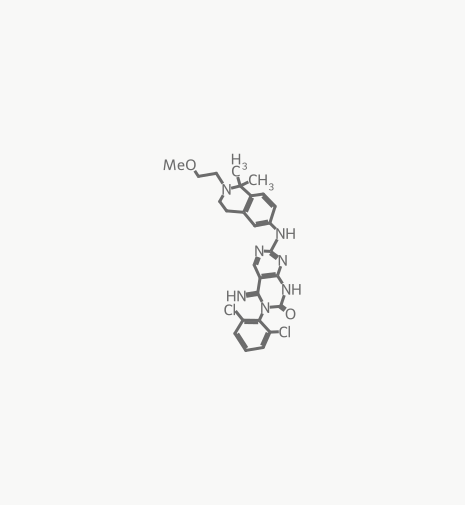 COCCN1CCc2cc(Nc3ncc4c(=N)n(-c5c(Cl)cccc5Cl)c(=O)[nH]c4n3)ccc2C1(C)C